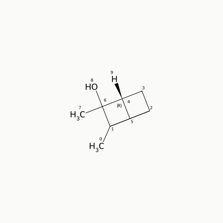 CC12C3C[C@H](C31)C2(C)O